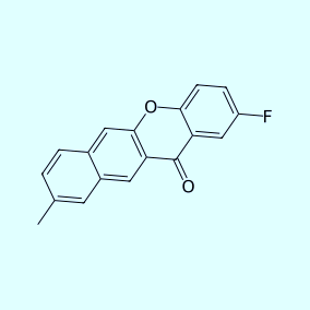 Cc1ccc2cc3oc4ccc(F)cc4c(=O)c3cc2c1